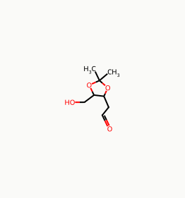 CC1(C)OC(CO)C(CC=O)O1